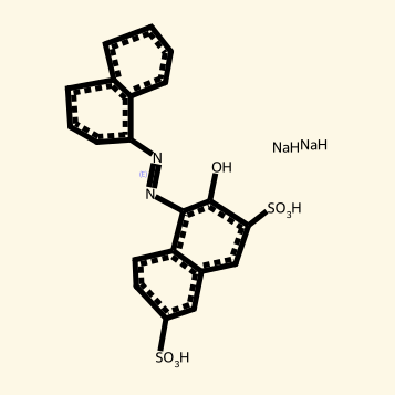 O=S(=O)(O)c1ccc2c(/N=N/c3cccc4ccccc34)c(O)c(S(=O)(=O)O)cc2c1.[NaH].[NaH]